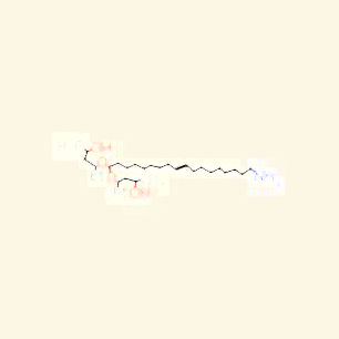 CCC(CC(C)O)OC(CCCCCCCC=CCCCCCCCCN)OC(CC)CC(C)O